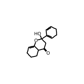 O=C1CC(O)(C2=CCCC=C2)OC2=CCCCC12